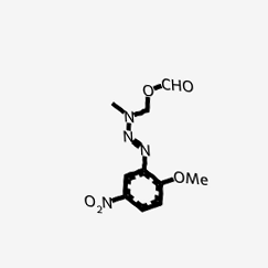 COc1ccc([N+](=O)[O-])cc1/N=N/N(C)COC=O